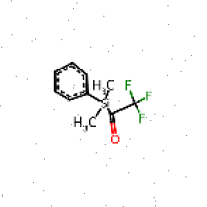 C[Si](C)(C(=O)C(F)(F)F)c1ccccc1